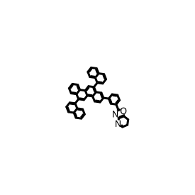 C1=Nc2nc(-c3cccc(-c4ccc5c(c4)c(-c4cccc6ccccc46)cc4c6ccccc6c(-c6cccc7ccccc67)cc54)c3)oc2CC1